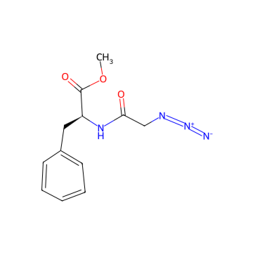 COC(=O)[C@H](Cc1ccccc1)NC(=O)CN=[N+]=[N-]